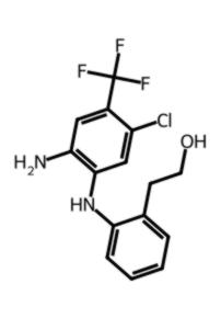 Nc1cc(C(F)(F)F)c(Cl)cc1Nc1ccccc1CCO